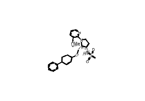 COc1cccnc1N1CC[C@H](NS(C)(=O)=O)[C@@H]1COC1CCC(c2ccccc2)CC1